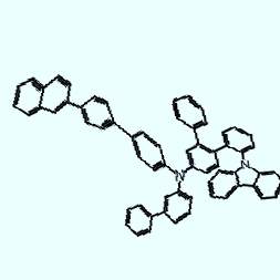 c1ccc(-c2cccc(N(c3ccc(-c4ccc(-c5ccc6ccccc6c5)cc4)cc3)c3ccc(-c4ccccc4-n4c5ccccc5c5ccccc54)c(-c4ccccc4)c3)c2)cc1